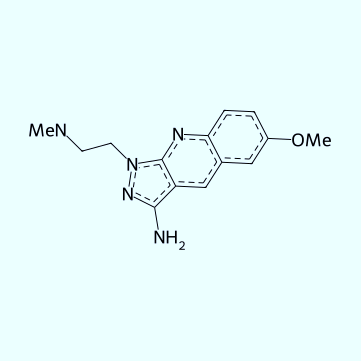 CNCCn1nc(N)c2cc3cc(OC)ccc3nc21